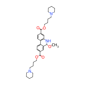 COC1Nc2cc(C(=O)OCCCCN3CCCCC3)ccc2-c2ccc(C(=O)OCCCCN3CCCCC3)cc21